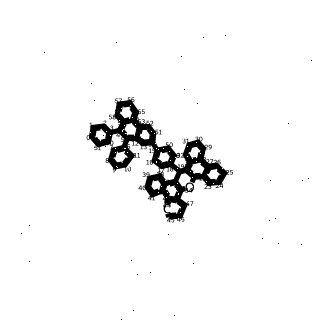 c1ccc(-c2c(-c3ccccc3)c3cc(-c4ccc(C5c6c(c7ccccc7c7ccccc67)Oc6c5c5ccccc5c5ccccc65)cc4)ccc3c3ccccc23)cc1